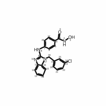 O=C(NO)c1ccc(Nc2nc3ccccc3n2Cc2cccc(Cl)c2)cc1